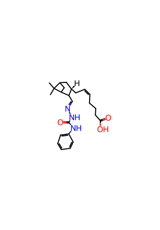 CC1(C)C2CC1C(C=NNC(=O)Nc1ccccc1)[C@@H](C/C=C\CCCC(=O)O)C2